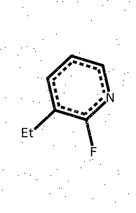 CCc1cccnc1F